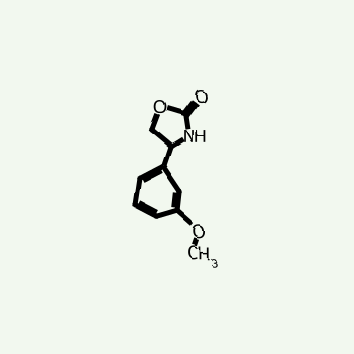 COc1cccc(C2COC(=O)N2)c1